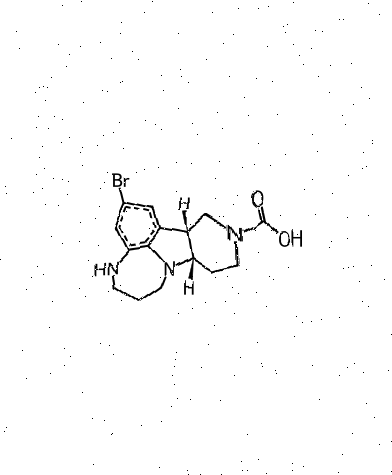 O=C(O)N1CC[C@H]2[C@@H](C1)c1cc(Br)cc3c1N2CCCN3